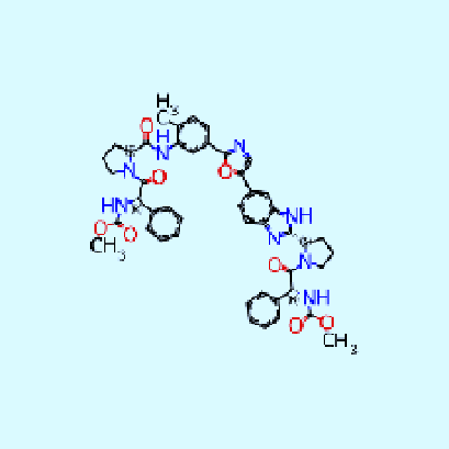 COC(=O)N[C@@H](C(=O)N1CCC[C@H]1C(=O)Nc1cc(-c2ncc(-c3ccc4nc([C@@H]5CCCN5C(=O)[C@H](NC(=O)OC)c5ccccc5)[nH]c4c3)o2)ccc1C)c1ccccc1